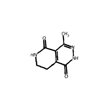 Cc1n[nH]c(=O)c2c1C(=O)NCC2